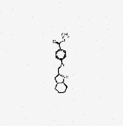 COC(=O)c1ccc(OCC2CC3CCCCC3N2)cc1